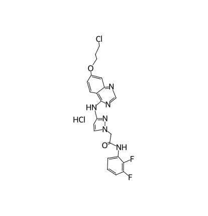 Cl.O=C(Cn1ccc(Nc2ncnc3cc(OCCCCl)ccc23)n1)Nc1cccc(F)c1F